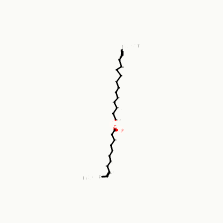 CCCCCCCCC=CCCCCCCCCCCCCOC(=O)CCCCCCC/C=C\CCCCCCCC